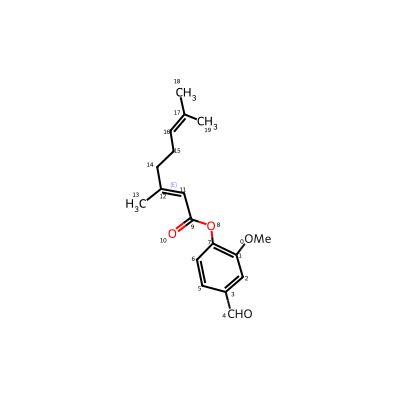 COc1cc(C=O)ccc1OC(=O)/C=C(\C)CCC=C(C)C